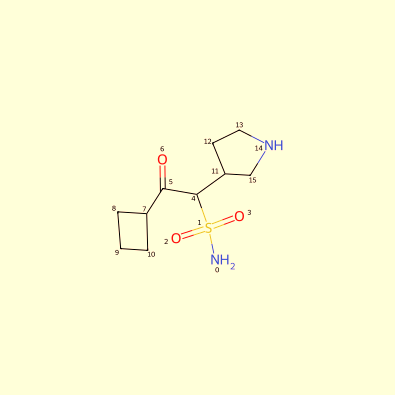 NS(=O)(=O)C(C(=O)C1CCC1)C1CCNC1